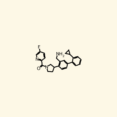 NCc1cc(-c2ccccc2C2CC2)ccc1C1CCN(C(=O)c2ccc(F)cn2)C1